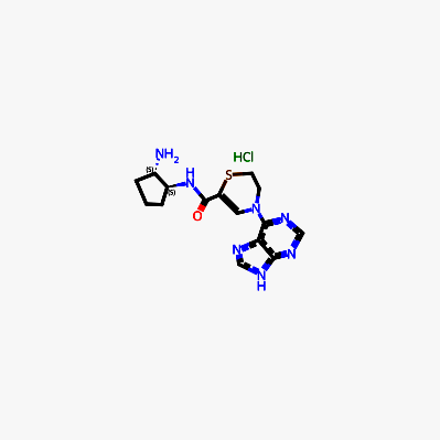 Cl.N[C@H]1CCC[C@@H]1NC(=O)C1=CN(c2ncnc3[nH]cnc23)CCS1